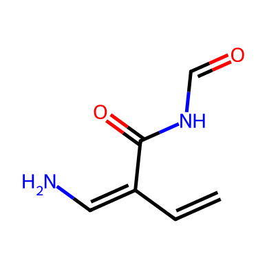 C=C/C(=C/N)C(=O)NC=O